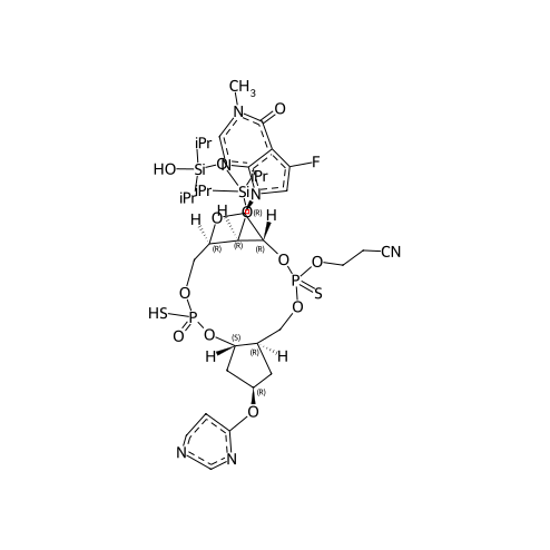 CC(C)[Si](O)(O[Si](O[C@H]1[C@H]2OP(=S)(OCCC#N)OC[C@H]3C[C@@H](Oc4ccncn4)C[C@@H]3OP(=O)(S)OC[C@H]1O[C@H]2n1cc(F)c2c(=O)n(C)cnc21)(C(C)C)C(C)C)C(C)C